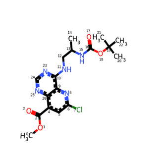 COC(=O)c1cc(Cl)nc2c(NCC(C)NC(=O)OC(C)(C)C)ncnc12